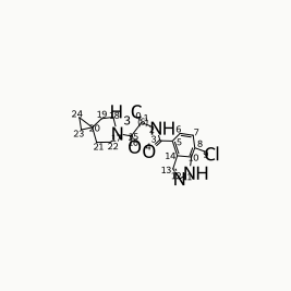 C[C@H](NC(=O)c1ccc(Cl)c2[nH]ncc12)C(=O)N1CCC2(CC1)CC2